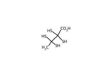 CC(S)(S)C(S)(S)C(=O)O